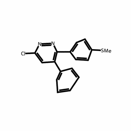 CSc1ccc(-c2nnc(Cl)cc2-c2ccccc2)cc1